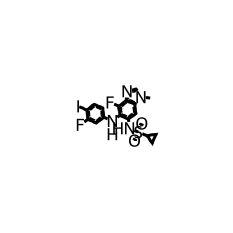 Cn1cnc2c(F)c(Nc3ccc(I)c(F)c3)c(NS(=O)(=O)C3CC3)cc21